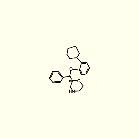 c1ccc(C(Oc2ccccc2C2CCCCC2)[C@@H]2CNCCO2)cc1